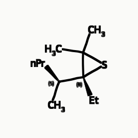 CCC[C@H](C)[C@@]1(CC)SC1(C)C